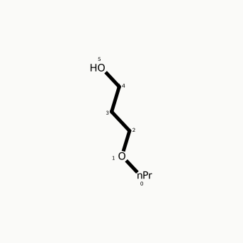 CCCOCC[CH]O